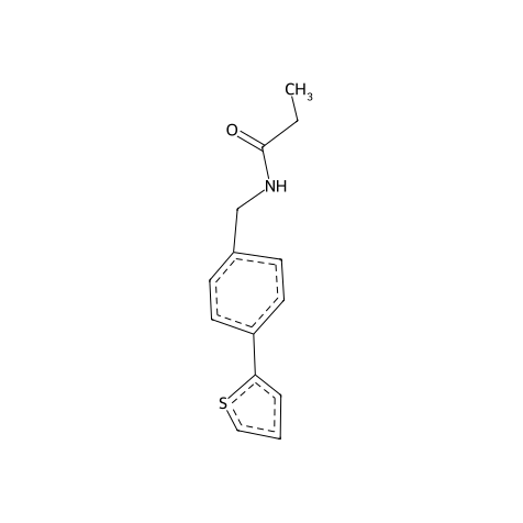 CCC(=O)NCc1ccc(-c2cccs2)cc1